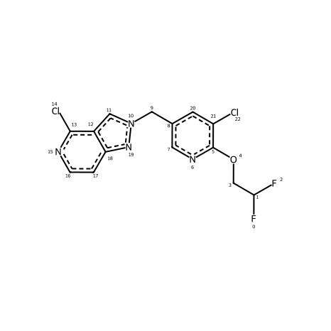 FC(F)COc1ncc(Cn2cc3c(Cl)nccc3n2)cc1Cl